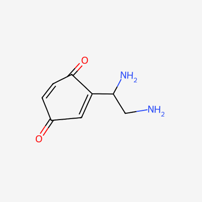 NCC(N)C1=CC(=O)C=CC1=O